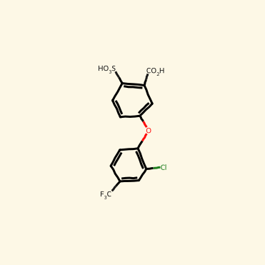 O=C(O)c1cc(Oc2ccc(C(F)(F)F)cc2Cl)ccc1S(=O)(=O)O